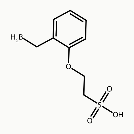 BCc1ccccc1OCCS(=O)(=O)O